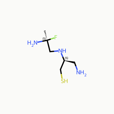 C[C@](N)(F)CN[C@@H](CN)CS